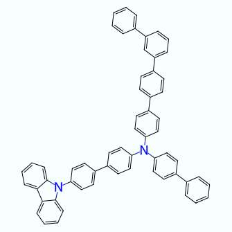 c1ccc(-c2ccc(N(c3ccc(-c4ccc(-c5cccc(-c6ccccc6)c5)cc4)cc3)c3ccc(-c4ccc(-n5c6ccccc6c6ccccc65)cc4)cc3)cc2)cc1